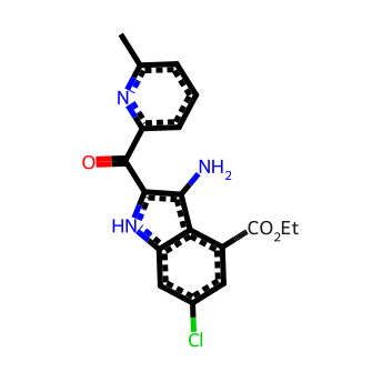 CCOC(=O)c1cc(Cl)cc2[nH]c(C(=O)c3cccc(C)n3)c(N)c12